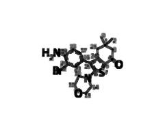 CC1(C)CC(=O)c2sc(N3CCOCC3)c(-c3ccc(N)c(Br)c3)c2C1